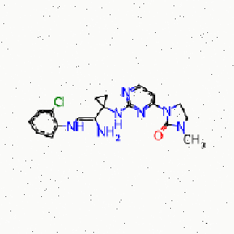 CN1CCN(c2ccnc(NC3(/C(N)=C/Nc4ccccc4Cl)CC3)n2)C1=O